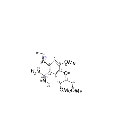 C/C=N/c1cc(OC)c(OC(COC)COC)cc1/C(N)=N\C